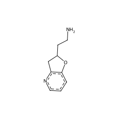 NCCC1Cc2ncccc2O1